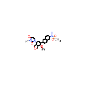 CC(C)Oc1c(-c2ccc3cc(NS(C)(=O)=O)ccc3c2)cc(-n2ccc(=O)n(C(C)C)c2=O)c2c1COC2